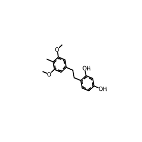 COc1cc(CCc2ccc(O)cc2O)cc(OC)c1C